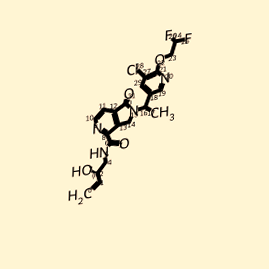 C=C[C@@H](O)CNC(=O)c1nccc2c1CN(C(C)c1cnc(OCC(F)F)c(Cl)c1)C2=O